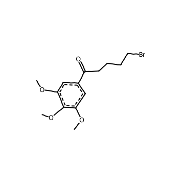 COc1cc(C(=O)CCCCBr)cc(OC)c1OC